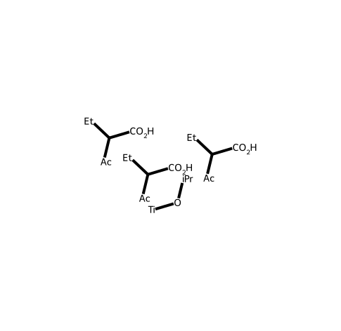 CC(C)[O][Ti].CCC(C(C)=O)C(=O)O.CCC(C(C)=O)C(=O)O.CCC(C(C)=O)C(=O)O